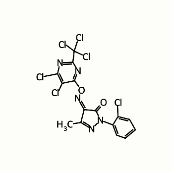 CC1=NN(c2ccccc2Cl)C(=O)C1=NOc1nc(C(Cl)(Cl)Cl)nc(Cl)c1Cl